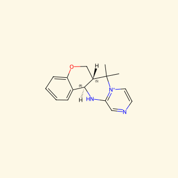 CC1(C)[C@H]2COc3ccccc3[C@@H]2Nc2cncc[n+]21